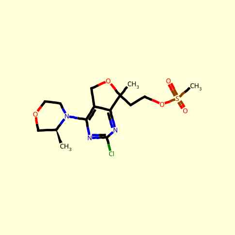 C[C@H]1COCCN1c1nc(Cl)nc2c1COC2(C)CCOS(C)(=O)=O